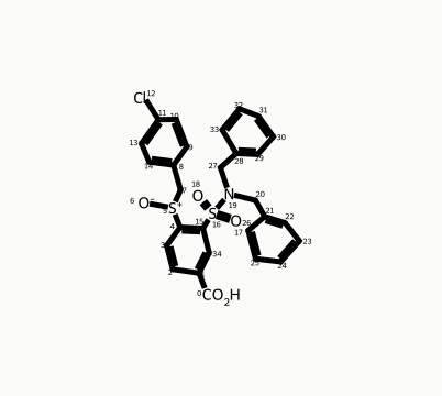 O=C(O)c1ccc([S+]([O-])Cc2ccc(Cl)cc2)c(S(=O)(=O)N(Cc2ccccc2)Cc2ccccc2)c1